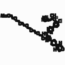 COCCOCCOCCOCCOCCOCCOc1nn(C2CCC(N3[C@@H]4CC[C@H]3COC4)CC2)cc1Nc1ncc(-c2ccc(Cl)c(O[C@@H](C)Cn3cnnn3)c2)cn1